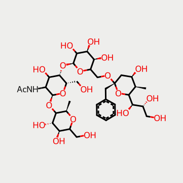 CC(=O)NC1C(O)[C@H](O[C@@H]2OC(CO[C@]3(Cc4ccccc4)C[C@@H](O)[C@@H](C)C([C@H](O)[C@H](O)CO)O3)[C@H](O)[C@H](O)C2O)[C@H](CO)O[C@H]1OC1[C@@H](O)[C@H](O)C(CO)O[C@@H]1C